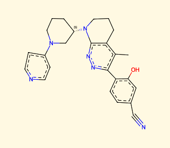 Cc1c(-c2ccc(C#N)cc2O)nnc2c1CCCN2[C@H]1CCCN(c2ccncc2)C1